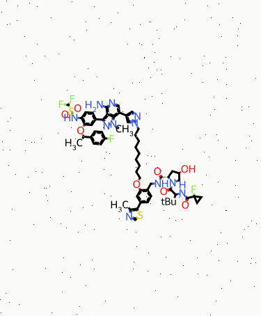 Cc1ncsc1-c1ccc(CNC(=O)[C@@H]2C[C@@H](O)CN2C(=O)C(NC(=O)C2(F)CC2)C(C)(C)C)c(OCCCCCCCCCn2cc(-c3cnc(N)c4c(-c5ccc(NS(=O)(=O)C(F)F)c(OC(C)c6ccc(F)cc6)c5)nn(C)c34)cn2)c1